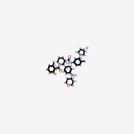 Cc1ccc(NC(=O)[C@H]2CCCN(C(=O)c3c(C)cccc3F)[C@H]2C2C=CC(NC3CCOCC3)=CC2)cc1N1CC[C@H](C)C1